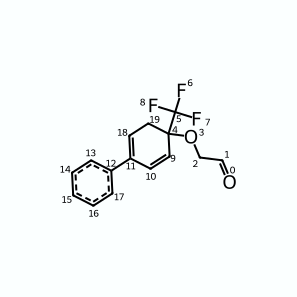 O=CCOC1(C(F)(F)F)C=CC(c2ccccc2)=CC1